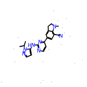 CC(C)n1nccc1Nc1nccc(-c2cc(C#N)c3c(c2)CCN3C)n1